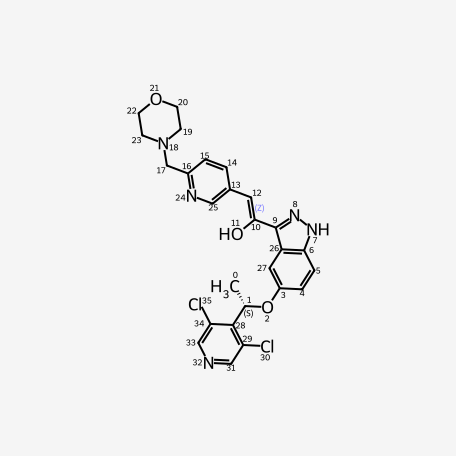 C[C@H](Oc1ccc2[nH]nc(/C(O)=C/c3ccc(CN4CCOCC4)nc3)c2c1)c1c(Cl)cncc1Cl